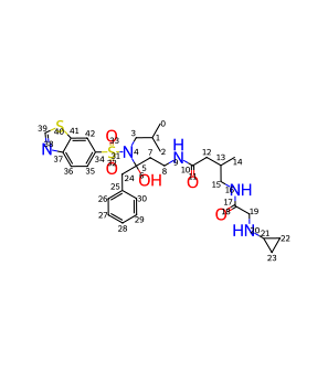 CC(C)CN(C(O)(CCNC(=O)CC(C)CNC(=O)CNC1CC1)Cc1ccccc1)S(=O)(=O)c1ccc2ncsc2c1